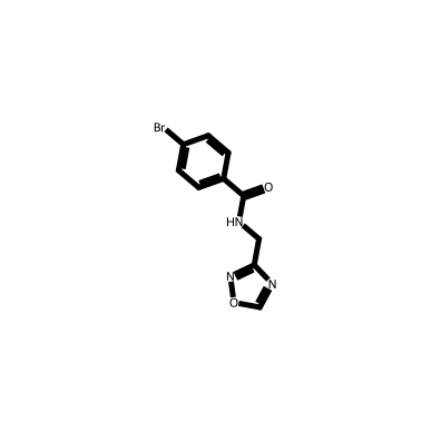 O=C(NCc1ncon1)c1ccc(Br)cc1